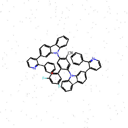 N#Cc1cc(-n2c3ccccc3c3ccc(-c4cccnc4-c4ccccc4)cc32)c(-c2cc(F)cc(F)c2)cc1-n1c2ccccc2c2ccc(-c3cccnc3-c3ccccc3)cc21